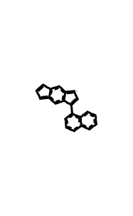 [C]1=c2cc3c(cc2C(c2cccc4ccccc24)=C1)=CC=C3